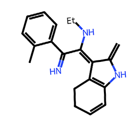 C=c1[nH]c2c(/c1=C(/NCC)C(=N)c1ccccc1C)CCC=C2